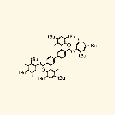 CC1=CC(OP(Oc2cc(C)c(C(C)(C)C)cc2C(C)(C)C)c2ccc(-c3ccc(P(OC4=C(C(C)(C)C)C(C)C(C(C)(C)C)C(C)C4)Oc4cc(C)c(C(C)(C)C)cc4C(C)(C)C)cc3)cc2)=C(C(C)(C)C)C=C(C(C)(C)C)C1